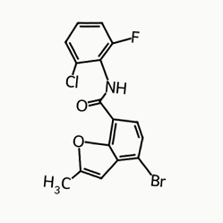 Cc1cc2c(Br)ccc(C(=O)Nc3c(F)cccc3Cl)c2o1